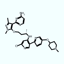 Cc1nn(C)c(OCC[C@H](C)Nc2cc(Cl)ncc2-c2ccc(OC3CCN(C)CC3)cn2)c1-c1nccc(N)n1